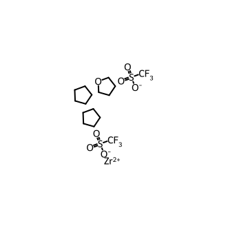 C1CCCC1.C1CCCC1.C1CCOC1.O=S(=O)([O-])C(F)(F)F.O=S(=O)([O-])C(F)(F)F.[Zr+2]